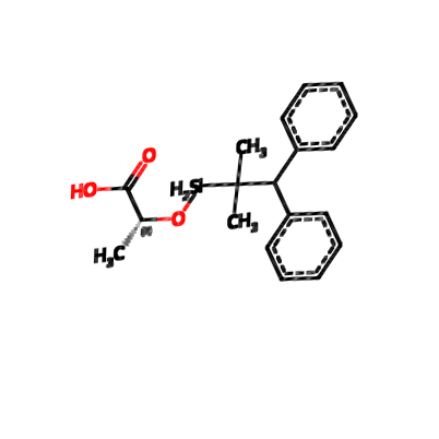 C[C@@H](O[SiH2]C(C)(C)C(c1ccccc1)c1ccccc1)C(=O)O